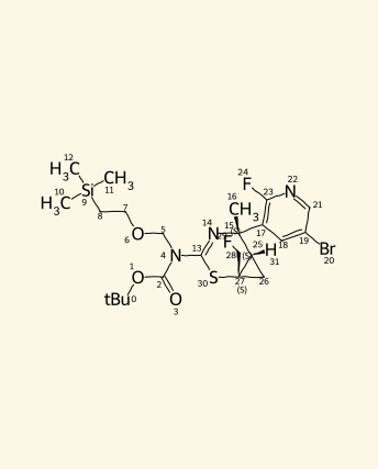 CC(C)(C)OC(=O)N(COCC[Si](C)(C)C)C1=N[C@](C)(c2cc(Br)cnc2F)[C@@H]2C[C@]2(CF)S1